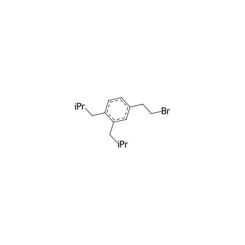 CC(C)Cc1ccc(CCBr)cc1CC(C)C